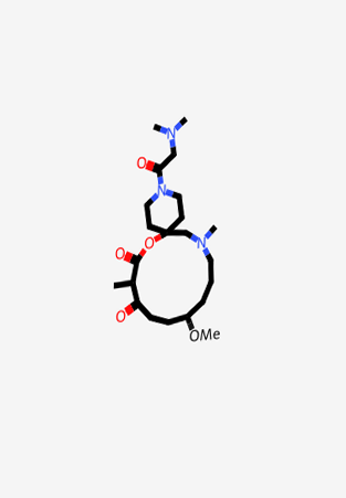 COC1CCCN(C)CC2(CCN(C(=O)CN(C)C)CC2)OC(=O)C(C)C(=O)CC1